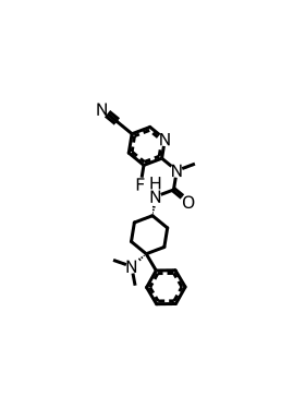 CN(C(=O)N[C@H]1CC[C@@](c2ccccc2)(N(C)C)CC1)c1ncc(C#N)cc1F